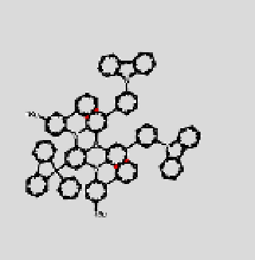 CC(C)(C)c1ccc(N2c3ccc(-c4cccc(-n5c6ccccc6c6ccccc65)c4)cc3B3c4cc(-c5cccc(-n6c7ccccc7c7ccccc76)c5)ccc4N(c4ccc(C(C)(C)C)cc4-c4ccccc4)c4cc(C5(c6ccccc6)c6ccccc6-c6ccccc65)cc2c43)c(-c2ccccc2)c1